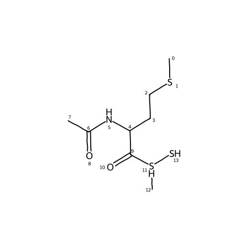 CSCCC(NC(C)=O)C(=O)[SH](C)S